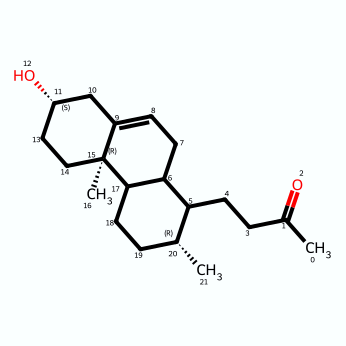 CC(=O)CCC1C2CC=C3C[C@@H](O)CC[C@]3(C)C2CC[C@H]1C